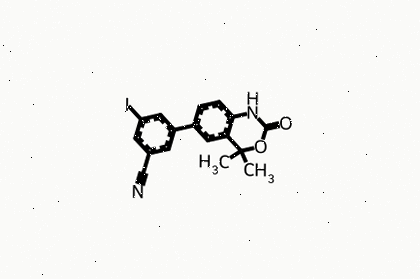 CC1(C)OC(=O)Nc2ccc(-c3cc(I)cc(C#N)c3)cc21